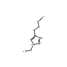 ICCCc1cn(CI)nn1